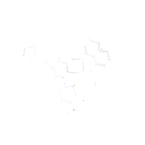 CC(=O)N1CCN(c2nc(OC[C@@H]3CCCN3C)nc3c2CCN(c2cccc4cccc(C)c24)C3)C[C@@H]1CC#N